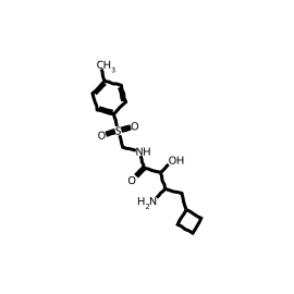 Cc1ccc(S(=O)(=O)CNC(=O)C(O)C(N)CC2CCC2)cc1